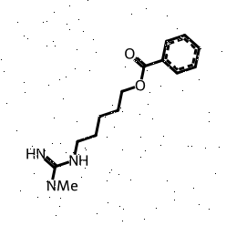 CNC(=N)NCCCCCOC(=O)c1ccccc1